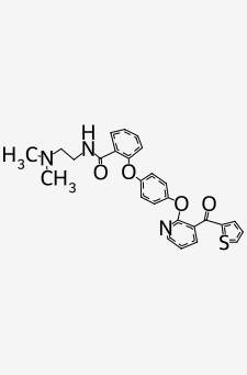 CN(C)CCNC(=O)c1ccccc1Oc1ccc(Oc2ncccc2C(=O)c2cccs2)cc1